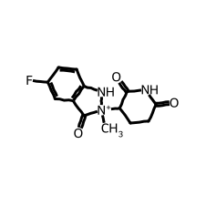 C[N+]1(C2CCC(=O)NC2=O)Nc2ccc(F)cc2C1=O